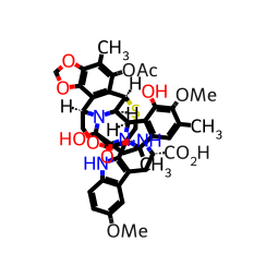 COc1ccc2[nH]c3c(c2c1)C[C@@H](C(=O)O)N[C@]31CS[C@@H]2c3c(OC(C)=O)c(C)c4c(c3[C@H](COC1=O)N1[C@@H]2[C@H]2c3c(cc(C)c(OC)c3O)C3(C)CC1(O)CN23)OCO4